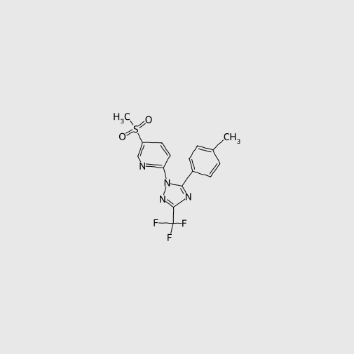 Cc1ccc(-c2nc(C(F)(F)F)nn2-c2ccc(S(C)(=O)=O)cn2)cc1